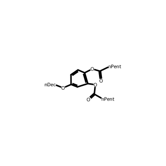 CCCCCCCCCCOc1ccc(OC(=O)CCCCC)c(OC(=O)CCCCC)c1